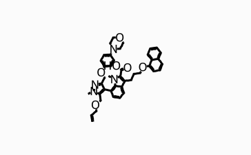 C=CCOCc1c(-c2cccc3c(CCCOc4cccc5ccccc45)c(C(=O)O)n(C)c23)c(COc2ccc(N3CCOCC3)cc2)nn1C